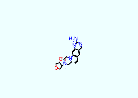 C=Cc1cc2cnc(N)nc2cc1N1CCN([C@@]2(C)COC[C@H]2O)CC1